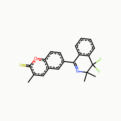 Cc1cc2cc(C3=NC(C)(C)C(F)(F)c4ccccc43)ccc2oc1=S